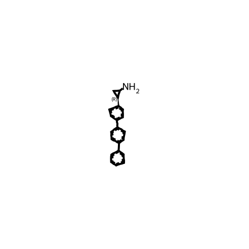 NC1C[C@@H]1c1ccc(-c2ccc(-c3ccccc3)cc2)cc1